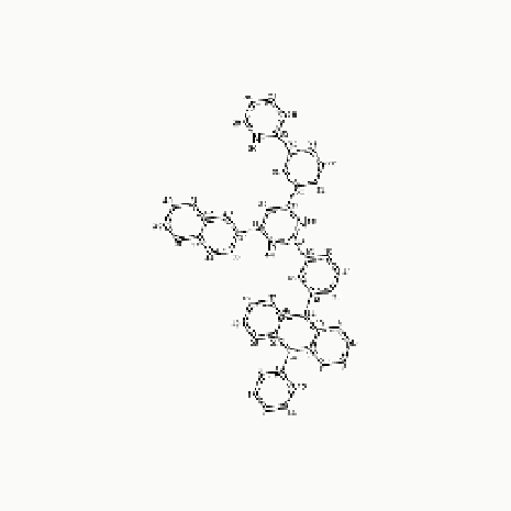 c1ccc(-c2c3ccccc3c(-c3cccc(-c4nc(-c5cccc(-c6ccccn6)c5)cc(-c5ccc6ccccc6c5)n4)c3)c3ccccc23)cc1